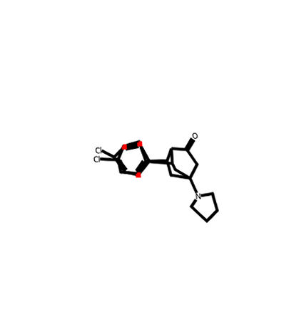 O=C1CC2(N3CCCC3)CC(c3ccc(Cl)cc3)C1C(c1ccc(Cl)cc1)C2